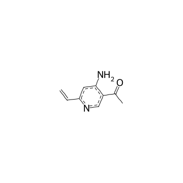 C=Cc1cc(N)c(C(C)=O)cn1